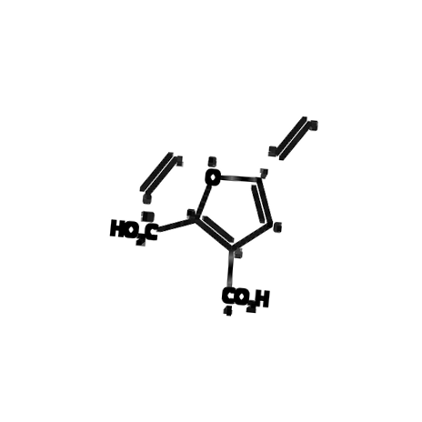 C=C.C=C.O=C(O)c1ccoc1C(=O)O